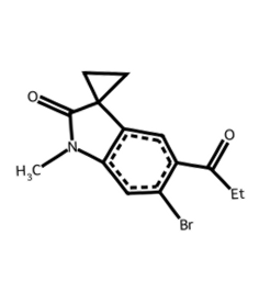 CCC(=O)c1cc2c(cc1Br)N(C)C(=O)C21CC1